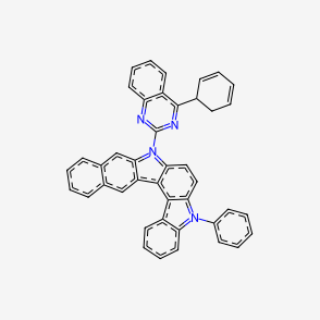 C1=CCC(c2nc(-n3c4cc5ccccc5cc4c4c5c6ccccc6n(-c6ccccc6)c5ccc43)nc3ccccc23)C=C1